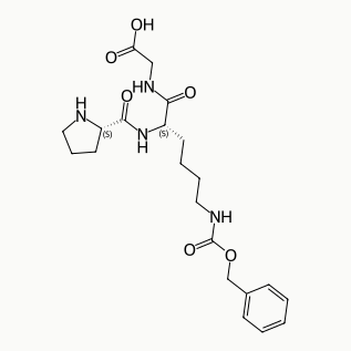 O=C(O)CNC(=O)[C@H](CCCCNC(=O)OCc1ccccc1)NC(=O)[C@@H]1CCCN1